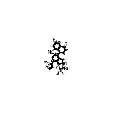 Cn1nccc1-c1ccc(C2CC[C@H](F)c3cc(F)cc(C#N)c32)c2c1[C@H](O[Si](C)(C)C(C)(C)C)C(F)(F)C2